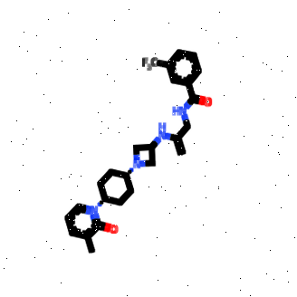 C=C(CNC(=O)c1cccc(C(F)(F)F)c1)NC1CN([C@H]2CC[C@@H](n3cccc(C)c3=O)CC2)C1